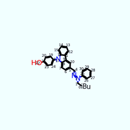 CCC(C)CN(/N=C/c1ccc2c(c1)c1ccccc1n2-c1ccc(O)cc1)c1ccccc1